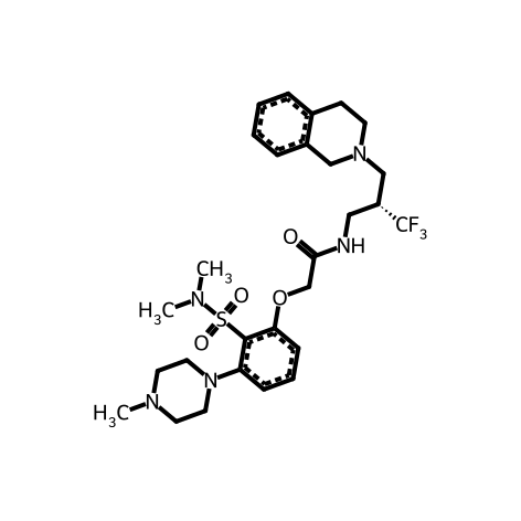 CN1CCN(c2cccc(OCC(=O)NC[C@H](CN3CCc4ccccc4C3)C(F)(F)F)c2S(=O)(=O)N(C)C)CC1